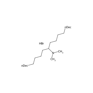 Br.CCCCCCCCCCCCCCC(CCCCCCCCCCCCCC)N(C)C